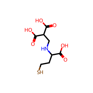 O=C(O)C(CCS)NCC(C(=O)O)C(=O)O